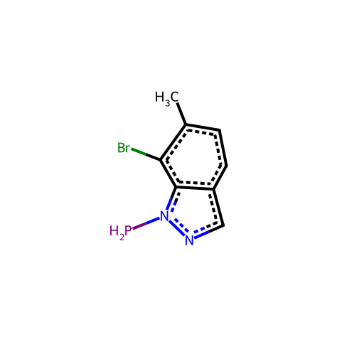 Cc1ccc2cnn(P)c2c1Br